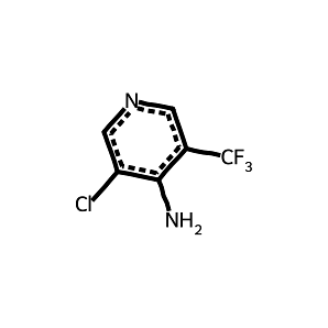 Nc1c(Cl)cncc1C(F)(F)F